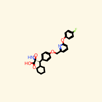 O=C(O)[C@@]1(C(c2ccc(OCc3cccc(Oc4ccc(F)cc4)n3)cc2)C2CCCCC2)NO1